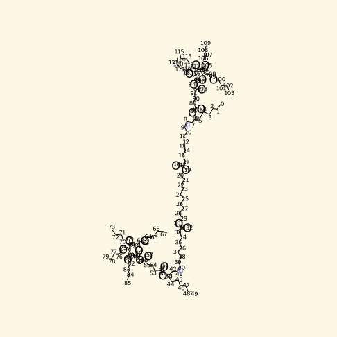 CCCCCC[C@H](C/C=C\CCCCCCCC(=O)OCCCCCCCCCCOC(=O)CCCCCCC/C=C\C[C@@H](CCCCCC)OC(=O)CCCC(=O)O[C@@H]1OC(COCCCC)[C@H](OCCCC)C(OCCCC)[C@@H]1OCCCC)OC(=O)CCCC(=O)O[C@@H]1OC(COCCCC)[C@H](OCCCC)C(OCCCC)[C@@H]1OCCCC